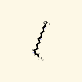 C/C=C/CC/C=C/CCC/C=[C]\CC